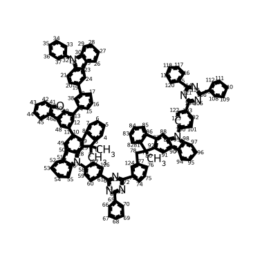 CC1(C)c2ccccc2-c2c(-c3cc(-c4cccc(-c5ccc6c(c5)c5ccccc5n6-c5ccccc5)c4)c4oc5ccccc5c4c3)cc3c4ccccc4n(-c4ccc(-c5nc(-c6ccccc6)nc(-c6cccc(CC7(C)c8ccccc8-c8cc9c(cc87)c7ccccc7n9-c7ccc(-c8nc(-c9ccccc9)nc(-c9ccccc9)n8)cc7)c6)n5)cc4)c3c21